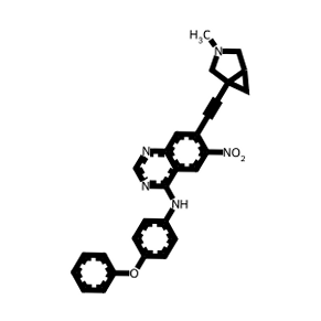 CN1CC2CC2(C#Cc2cc3ncnc(Nc4ccc(Oc5ccccc5)cc4)c3cc2[N+](=O)[O-])C1